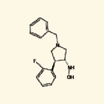 ON[C@H]1CN(Cc2ccccc2)C[C@@H]1c1ccccc1F